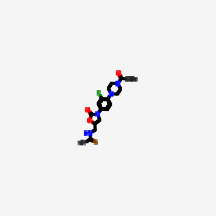 CCCC(=S)NCC1CN(c2ccc(N3CCN(C(=O)OC)CC3)c(F)c2)C(=O)O1